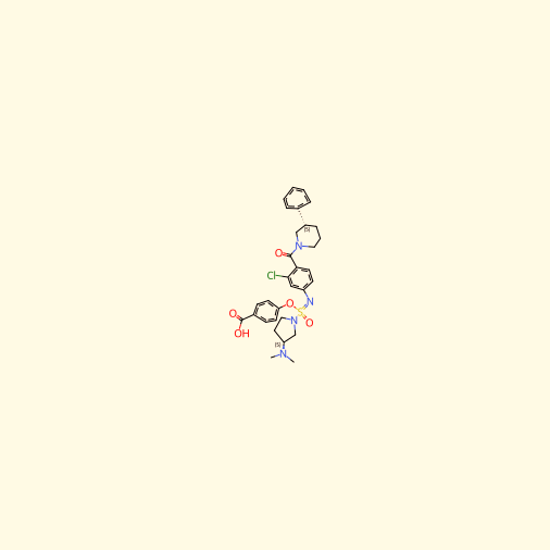 CN(C)[C@H]1CCN(S(=O)(=Nc2ccc(C(=O)N3CCC[C@@H](c4ccccc4)C3)c(Cl)c2)Oc2ccc(C(=O)O)cc2)C1